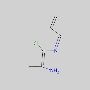 C=C/C=N\C(Cl)=C(\C)N